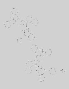 N#Cc1ccc(-c2nc(-n3c4cc5c6ccccc6n6c7cc(-c8ccc9nc(-n%10c%11cc%12c%13ccccc%13n%13c%14ccccc%14c(c%11c%11ccc%14ccccc%14c%11%10)c%12%13)nc(C#N)c9c8)ccc7c(c4c4ccc7ccccc7c43)c56)nc3ccccc23)cc1